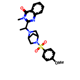 COc1ccc(S(=O)(=O)N2CC3CC2CN3C(C)c2nc3ccccc3c(=O)n2C)cc1